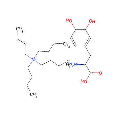 CCCC[N+](CCCC)(CCCC)CCCC.N[C@@H](Cc1ccc(O)c(O)c1)C(=O)O